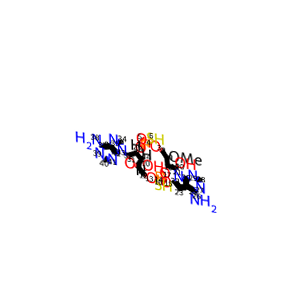 CO[C@@H]1COP(=O)(S)O[C@@H]2[C@H](O)[C@@H](COP(=O)(S)O[C@H]1[C@@H](O)n1ccc3c(N)ncnc31)O[C@H]2n1cnc2c(N)ncnc21